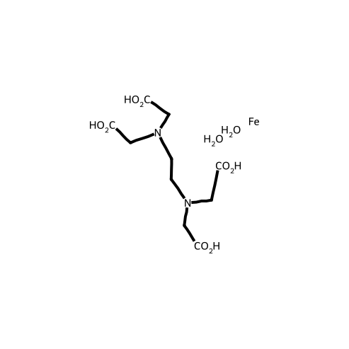 O.O.O=C(O)CN(CCN(CC(=O)O)CC(=O)O)CC(=O)O.[Fe]